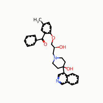 Cc1ccc(OC[C@@H](O)CN2CCC(O)(c3cncc4ccccc34)CC2)c(C(=O)c2ccccc2)c1